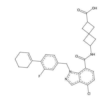 O=C(NC1CC2(C1)CC(C(=O)O)C2)c1ccc(Cl)c2cnn(Cc3ccc(C4=CCCCC4)c(F)c3)c12